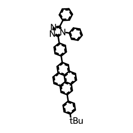 CC(C)(C)c1ccc(-c2cc3ccc4cc(-c5ccc(-c6nnc(-c7ccccc7)n6-c6ccccc6)cc5)cc5ccc(c2)c3c45)cc1